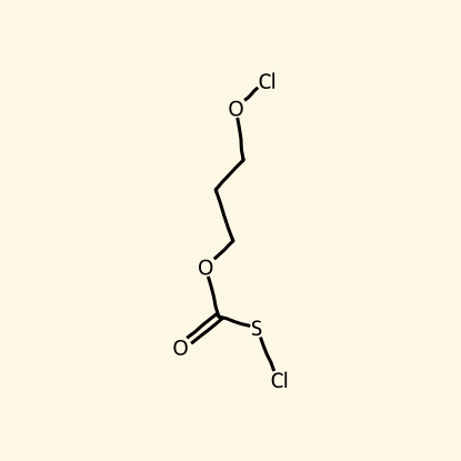 O=C(OCCCOCl)SCl